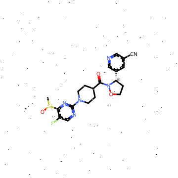 C[S+]([O-])c1nc(N2CCC(C(=O)N3OCC[C@H]3c3cncc(C#N)c3)CC2)ncc1F